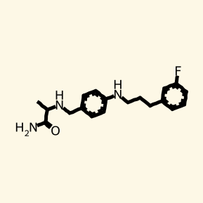 CC(NCc1ccc(NCCCc2cccc(F)c2)cc1)C(N)=O